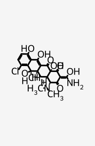 CN(C)[C@@H]1C(=O)C(=C(N)O)C(=O)[C@@]2(O)C(=O)C3=C(O)c4c(O)ccc(Cl)c4[C@@](C)(O)[C@H]3C[C@@H]12